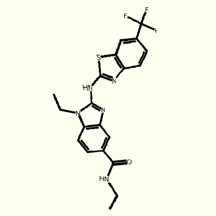 CCNC(=O)c1ccc2c(c1)nc(Nc1nc3ccc(C(F)(F)F)cc3s1)n2CC